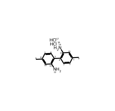 Cc1ccc(-c2ccc(C)cc2N)c(N)c1.Cl.Cl